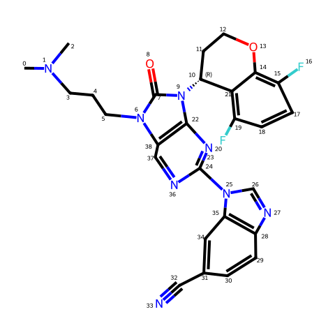 CN(C)CCCn1c(=O)n([C@@H]2CCOc3c(F)ccc(F)c32)c2nc(-n3cnc4ccc(C#N)cc43)ncc21